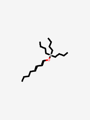 CCCCC=CC=CO[Si](CCCC)(CCCC)CCCC